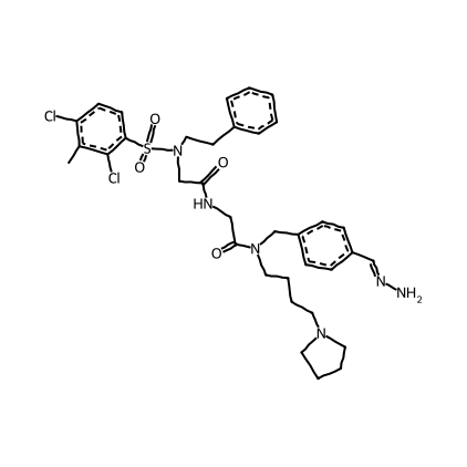 Cc1c(Cl)ccc(S(=O)(=O)N(CCc2ccccc2)CC(=O)NCC(=O)N(CCCCN2CCCC2)Cc2ccc(C=NN)cc2)c1Cl